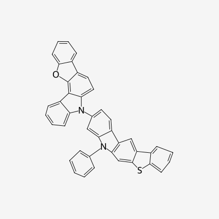 c1ccc(-n2c3cc(-n4c5ccccc5c5c6oc7ccccc7c6ccc54)ccc3c3cc4c(cc32)sc2ccccc24)cc1